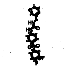 O=C(NCc1cccnc1)Nc1ccc(S(=O)(=O)c2ccc(F)c(F)c2)cc1